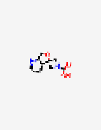 O=C(O)N1CC2(C1)OCc1ncccc12